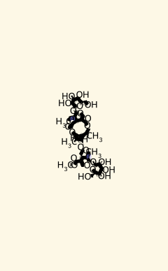 C/C=C1/[C@H](O[C@@H]2O[C@H](CO)[C@@H](O)[C@H](O)[C@H]2O)OC=C(C(=O)OC)[C@H]1CC(=O)OC[C@@H]1[C@@H](C)[C@@H]2C[C@H]1[C@@H](C)COC(=O)C1=CO[C@@H](O[C@@H]3O[C@H](CO)[C@@H](O)[C@H](O)[C@H]3O)/C(=C/C)[C@@H]1CC(=O)O2